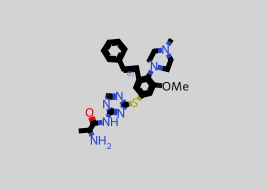 COc1cc(Sc2ncnc(NC(=O)C(C)N)n2)cc(/C=C/c2ccccc2)c1N1CCN(C)CC1